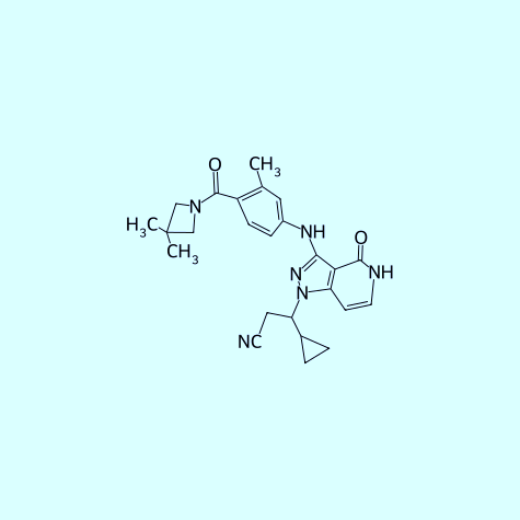 Cc1cc(Nc2nn(C(CC#N)C3CC3)c3cc[nH]c(=O)c23)ccc1C(=O)N1CC(C)(C)C1